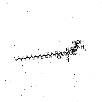 CCCCCCCCCCCCCCCCCCCCC(COCC(O)COP(=O)(O)OCC(N)C(=O)O)OC